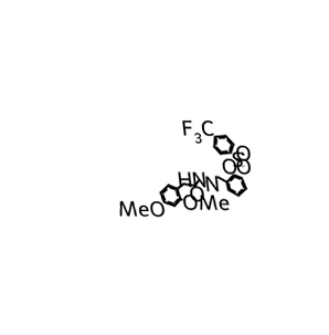 COc1ccc(CC(=O)NN=Cc2ccccc2OS(=O)(=O)c2ccc(C(F)(F)F)cc2)c(OC)c1